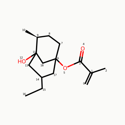 C=C(C)C(=O)OC12CC[C@H](C)C(O)(CC(CC)C1)C2